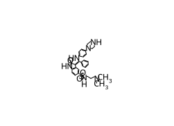 CN(C)CCCNS(=O)(=O)c1ccc2c(c1)/C(=C(/Nc1ccc(N3CCNCC3)cc1)c1ccccc1)C(=O)N2